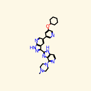 CN1CCN(c2nccc3[nH]c(-c4n[nH]c5ncc(-c6cncc(OC7CCCCC7)c6)cc45)nc23)CC1